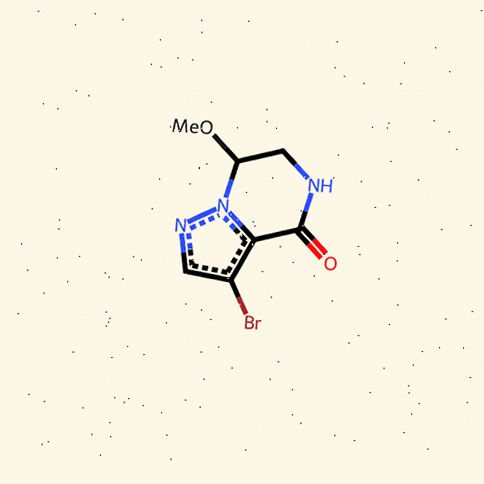 COC1CNC(=O)c2c(Br)cnn21